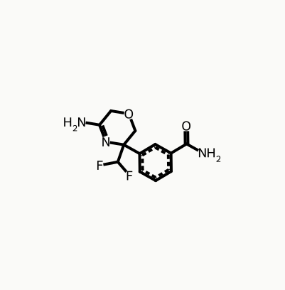 NC(=O)c1cccc(C2(C(F)F)COCC(N)=N2)c1